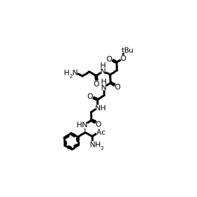 CC(=O)C(N)[C@@H](NC(=O)CNC(=O)CNC(=O)C(CC(=O)OC(C)(C)C)NC(=O)CCN)c1ccccc1